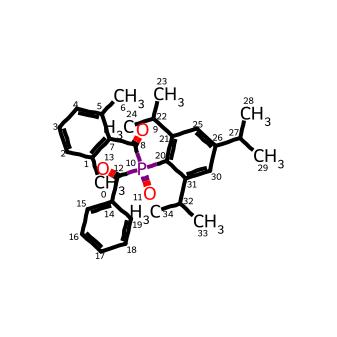 Cc1cccc(C)c1C(=O)P(=O)(C(=O)c1ccccc1)c1c(C(C)C)cc(C(C)C)cc1C(C)C